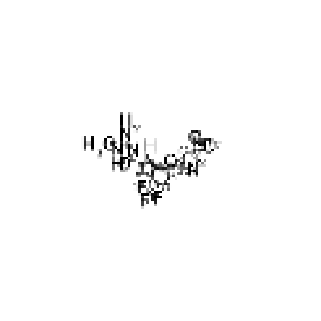 CNC(N)=NC(=O)c1cc2c(C(F)(F)F)ccc(Oc3cncc([N+](=O)[O-])c3)c2[nH]1